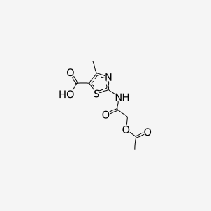 CC(=O)OCC(=O)Nc1nc(C)c(C(=O)O)s1